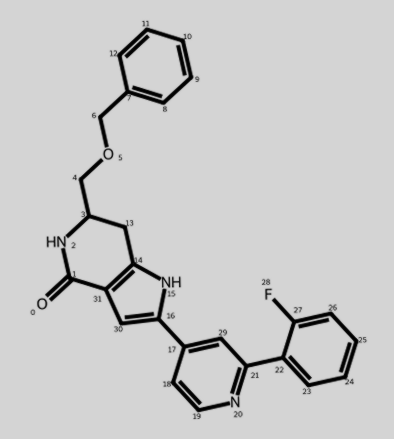 O=C1NC(COCc2ccccc2)Cc2[nH]c(-c3ccnc(-c4ccccc4F)c3)cc21